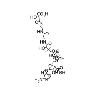 CC(C)(COP(=O)(O)OP(=O)(O)OC[C@H]1O[C@@H](n2cnc3c(N)ncnc32)[C@H](O)[C@@H]1OP(=O)(O)O)[C@@H](O)C(=O)NCCC(=O)NCCSC(=O)CC(O)C(=O)O